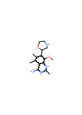 COc1c(C2CNCCO2)c(C)c(C)c2c(N)nc(C)nc12